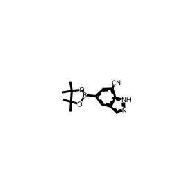 CC1(C)OB(c2cc(C#N)c3[nH]ncc3c2)OC1(C)C